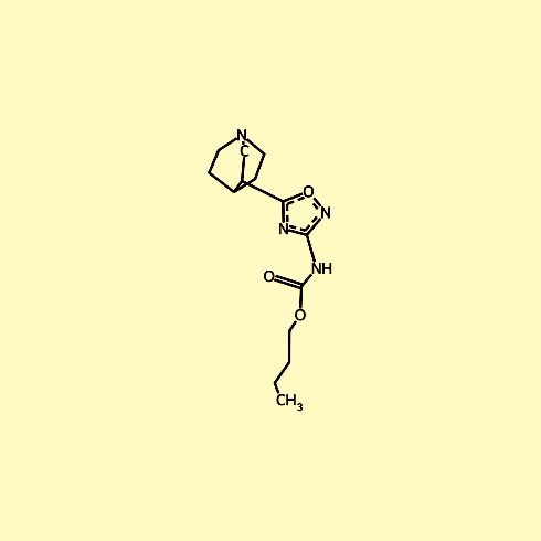 CCCCOC(=O)Nc1noc(C2CN3CCC2CC3)n1